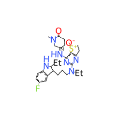 CCC1Nc2ccc(F)cc2C1CCCN(CC)c1nc2c(c(N[C@H]3CCC(=O)N(C)C3)n1)[S+]([O-])CC2